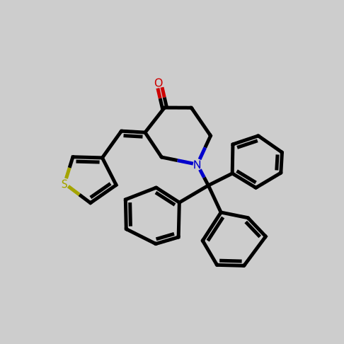 O=C1CCN(C(c2ccccc2)(c2ccccc2)c2ccccc2)C/C1=C\c1ccsc1